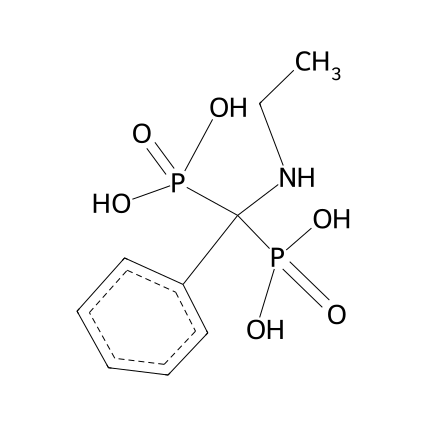 CCNC(c1ccccc1)(P(=O)(O)O)P(=O)(O)O